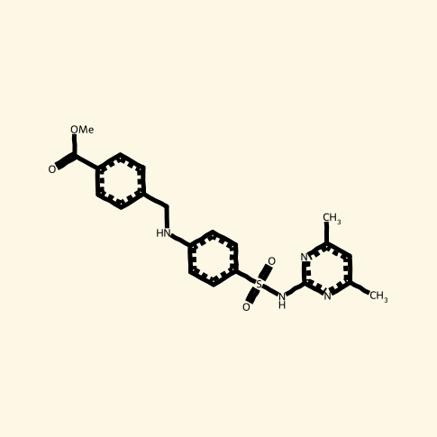 COC(=O)c1ccc(CNc2ccc(S(=O)(=O)Nc3nc(C)cc(C)n3)cc2)cc1